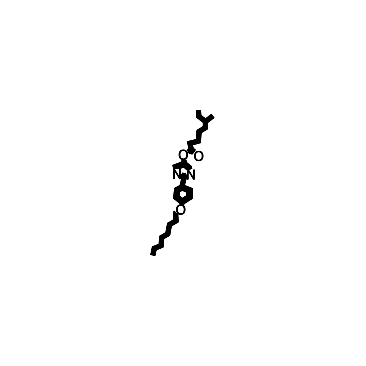 CCCCCCCCOc1ccc(-c2ncc(OC(=O)CCCCC(C)CC)cn2)cc1